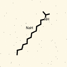 CCCCCCCCCCCCNC(C)C.[NaH]